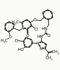 C=C(C)c1cc(NC(=O)NCc2ccccc2COc2cc(C)n(Cc3ccccc3OC)c(=O)c2Cl)n(-c2ccc(Cl)c(O)c2)n1